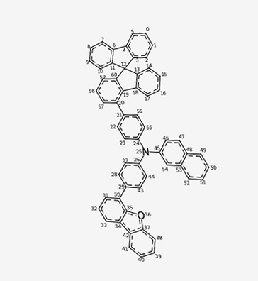 c1ccc2c(c1)-c1ccccc1C21c2ccccc2-c2c(-c3ccc(N(c4ccc(-c5cccc6c5oc5ccccc56)cc4)c4ccc5ccccc5c4)cc3)cccc21